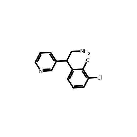 NCC(c1cccnc1)c1cccc(Cl)c1Cl